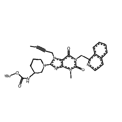 CC#CCn1c(N2CCCC(NC(=O)OC(C)(C)C)C2)nc2c1c(=O)n(Cc1nccc3ccccc13)c(=O)n2C